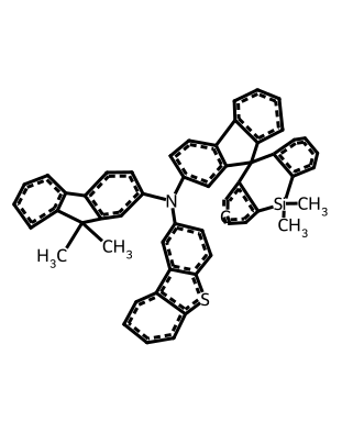 CC1(C)c2ccccc2-c2ccc(N(c3ccc4c(c3)C3(c5ccccc5-4)c4ccccc4[Si](C)(C)c4ccccc43)c3ccc4sc5ccccc5c4c3)cc21